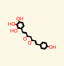 O=C(/C=C/c1ccc(O)cc1)CC(=O)/C=C/c1ccc(O)c(O)c1O